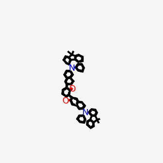 CC1(C)c2ccccc2-c2c(N(c3ccccc3)c3ccc4cc5c(cc4c3)oc3c5ccc4oc5cc6cc(N(c7ccccc7)c7cccc8c7-c7ccccc7C8(C)C)ccc6cc5c43)cccc21